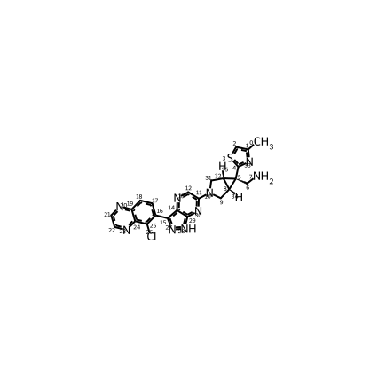 Cc1csc([C@]2(CN)[C@@H]3CN(c4cnc5c(-c6ccc7nccnc7c6Cl)n[nH]c5n4)C[C@@H]32)n1